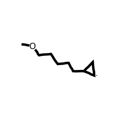 COCCCCCC1[CH]C1